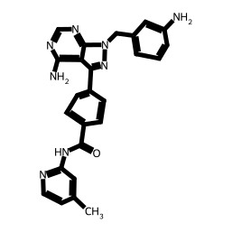 Cc1ccnc(NC(=O)c2ccc(-c3nn(Cc4cccc(N)c4)c4ncnc(N)c34)cc2)c1